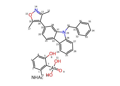 CC(=O)Nc1cccc(O)c1[As](=O)(O)O.Cc1noc(C)c1-c1ccc2c3ccccc3n(Cc3ccccc3)c2c1